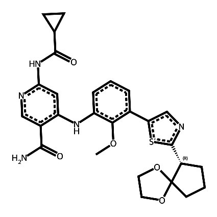 COc1c(Nc2cc(NC(=O)C3CC3)ncc2C(N)=O)cccc1-c1cnc([C@@H]2CCCC23OCCO3)s1